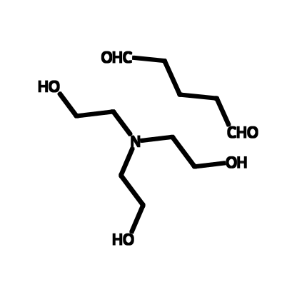 O=CCCCC=O.OCCN(CCO)CCO